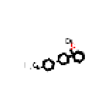 C=C[C@H]1CC[C@H](C2CCC(C3(COCC)C=CCC=C3)CC2)CC1